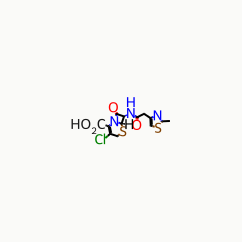 Cc1nc(CC(=O)N[C@@H]2C(=O)N3C(C(=O)O)=C(Cl)CS[C@@H]23)cs1